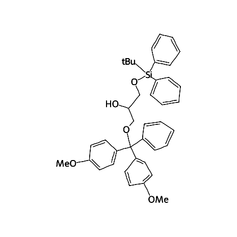 COc1ccc(C(OCC(O)CO[Si](c2ccccc2)(c2ccccc2)C(C)(C)C)(c2ccccc2)c2ccc(OC)cc2)cc1